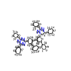 c1ccc(-c2cc(-c3cc(-c4ccccc4)nc(-c4ccccc4)n3)cc(-c3ccc(-c4nc(-c5ccccc5)nc(-c5ccccc5)n4)cc3-c3ccccc3)c2)cc1